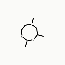 CB1OCCN(C)CC(C)O1